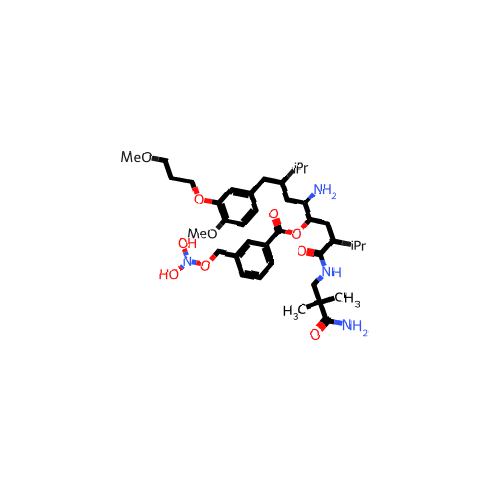 COCCCOc1cc(CC(CC(N)C(CC(C(=O)NCC(C)(C)C(N)=O)C(C)C)OC(=O)c2cccc(CON(O)O)c2)C(C)C)ccc1OC